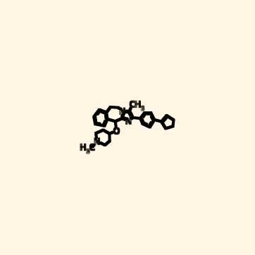 Cc1c(-c2ccc(C3=CCCC3)cc2)nc2n1CCc1ccccc1C2OC1CCN(C)CC1